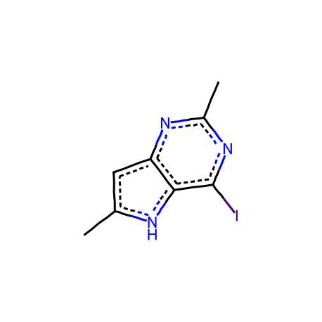 Cc1nc(I)c2[nH]c(C)cc2n1